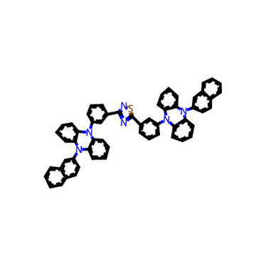 c1cc(-c2nsc(-c3cccc(N4c5ccccc5N(c5ccc6ccccc6c5)c5ccccc54)c3)n2)cc(N2c3ccccc3N(c3ccc4ccccc4c3)c3ccccc32)c1